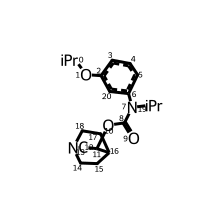 CC(C)Oc1cccc(N(C(=O)OC2CN3CCC2CC3)C(C)C)c1